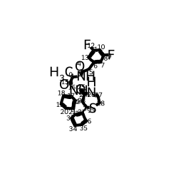 CC(NC(=O)Cc1cc(F)cc(F)c1)C(=O)Nc1ccccc1[C@@H]1C(=O)NCCS[C@H]1c1ccccc1